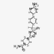 CC(C)C(C)(c1ccc(-c2cnc(N)nc2)cc1)c1noc(N2CCN(C(N)=O)CC2)n1